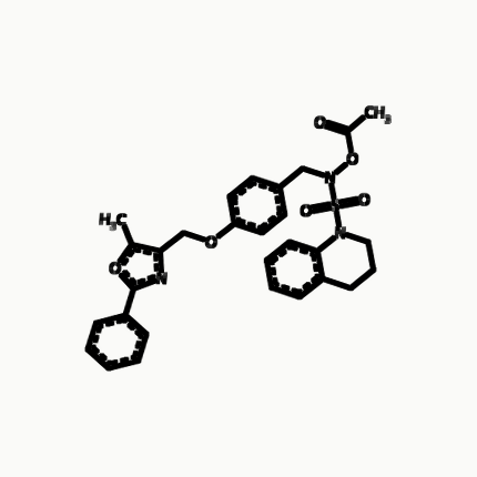 CC(=O)ON(Cc1ccc(OCc2nc(-c3ccccc3)oc2C)cc1)S(=O)(=O)N1CCCc2ccccc21